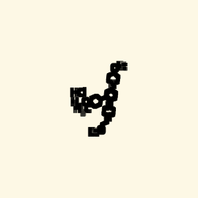 CCOCCN1CCN(c2ccc(N3CCC(OCC)CC3)cc2C2CCC(C)(C)CC2)CC1.Cl